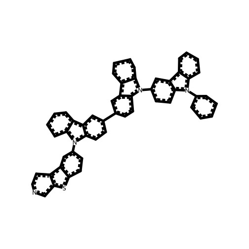 c1ccc(-n2c3ccccc3c3cc(-n4c5ccccc5c5cc(-c6ccc7c(c6)c6ccccc6n7-c6ccc7sc8cnccc8c7c6)ccc54)ccc32)cc1